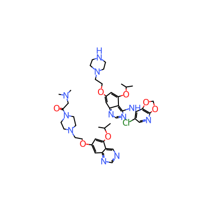 CC(C)Oc1cc(OCCN2CCN(C(=O)CN(C)C)CC2)cc2ncncc12.CC(C)Oc1cc(OCCN2CCNCC2)cc2ncnc(Nc3c(Cl)cnc4c3OCO4)c12